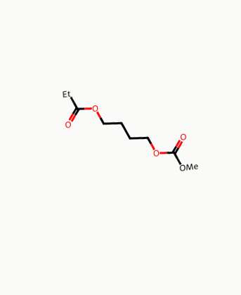 CCC(=O)OCCCCOC(=O)OC